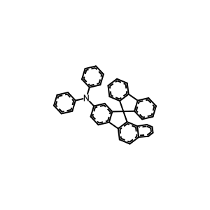 c1ccc(N(c2ccccc2)c2ccc3c(c2)C2(c4ccccc4-c4ccccc42)c2c-3ccc3ccccc23)cc1